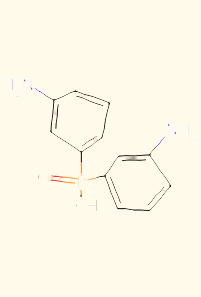 CP(=O)(c1cccc(N)c1)c1cccc(N)c1